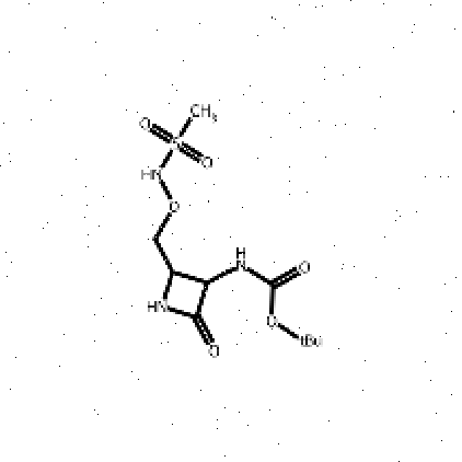 CC(C)(C)OC(=O)NC1C(=O)NC1CONS(C)(=O)=O